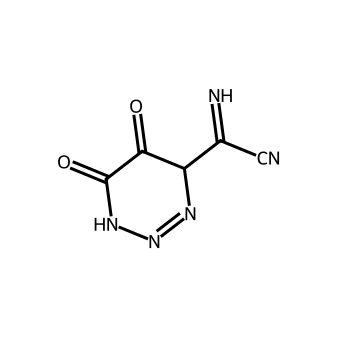 N#CC(=N)C1N=NNC(=O)C1=O